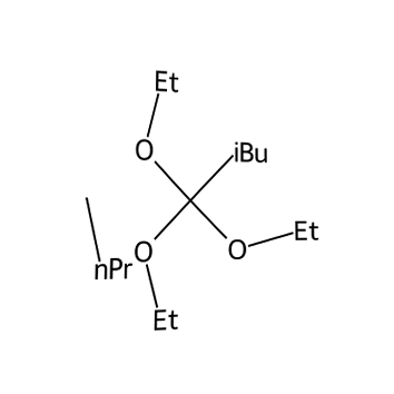 CCCC.CCOC(OCC)(OCC)C(C)CC